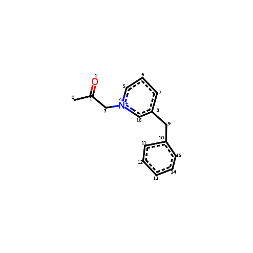 CC(=O)C[n+]1cccc(Cc2ccccc2)c1